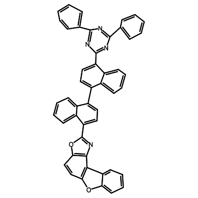 c1ccc(-c2nc(-c3ccccc3)nc(-c3ccc(-c4ccc(-c5nc6c(ccc7oc8ccccc8c76)o5)c5ccccc45)c4ccccc34)n2)cc1